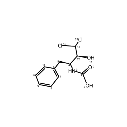 O=C(O)N[C@@H](Cc1ccccc1)[C@H](O)C(Cl)Cl